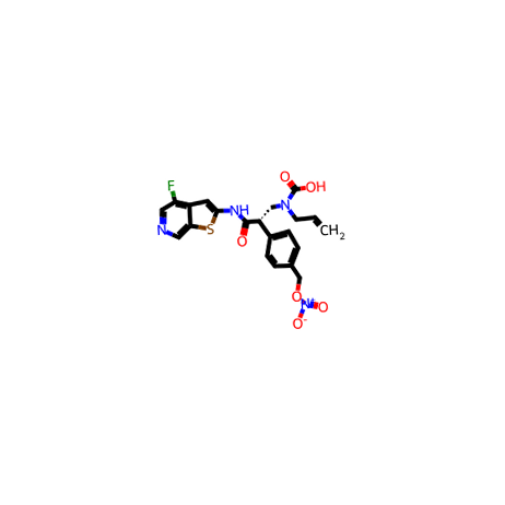 C=CCN(C[C@@H](C(=O)Nc1cc2c(F)cncc2s1)c1ccc(CO[N+](=O)[O-])cc1)C(=O)O